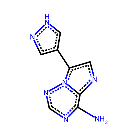 Nc1ncnn2c(-c3cn[nH]c3)cnc12